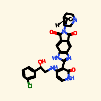 O=C1c2cc3nc(-c4c(NC[C@@H](O)c5cccc(Cl)c5)cc[nH]c4=O)[nH]c3cc2C(=O)N1[C@@H]1CN2CCC1CC2